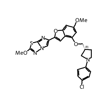 COc1cc(OC[C@@H]2CCN(c3ccc(Cl)cc3)C2)c2cc(-c3cn4nc(OC)sc4n3)oc2c1